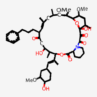 COC1CC(C=C(C)C2OC(=O)C3CCCCN3C(=O)C(=O)C3(O)OC(C(OC)CC(C)C/C(C)=C/C(CCCc4ccccc4)C(=O)CC(O)C2C)C(OC)CC3C)CCC1O